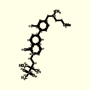 COCCN(C)Cc1ccc(-c2ccc3c(=O)n(CCC(C)(C(=O)O)S(C)(=O)=O)ccc3c2)c(F)c1